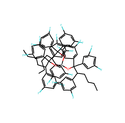 CCCCC(c1cc(F)cc(F)c1)C(OB(OC(c1cc(F)cc(F)c1)(c1cc(F)cc(F)c1)C(CCCC)c1cc(F)cc(F)c1)OC(c1cc(F)cc(F)c1)(c1cc(F)cc(F)c1)C(CCCC)c1cc(F)cc(F)c1)(c1cc(F)cc(F)c1)c1cc(F)cc(F)c1